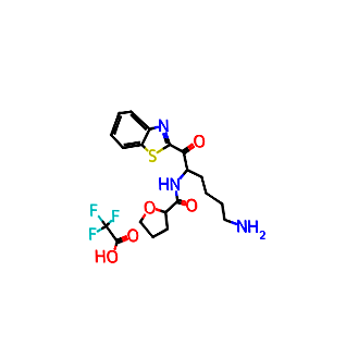 NCCCCC(NC(=O)C1CCCO1)C(=O)c1nc2ccccc2s1.O=C(O)C(F)(F)F